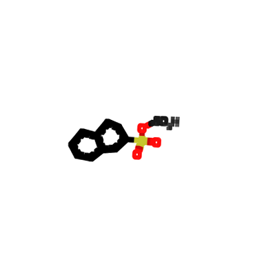 O=S(=O)(O)OS(=O)(=O)c1ccc2ccccc2c1